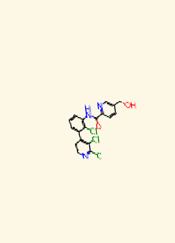 O=C(Nc1cccc(-c2ccnc(Cl)c2Cl)c1Cl)c1ccc(CO)cn1